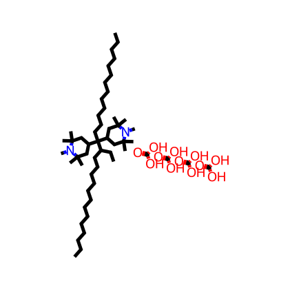 CCCCCCCCCCCCCC(CC)C(CCCCCCCCCCCCC)(C1CC(C)(C)N(C)C(C)(C)C1)C1CC(C)(C)N(C)C(C)(C)C1.O=C(O)O.O=C(O)O.O=C(O)O.O=C(O)O